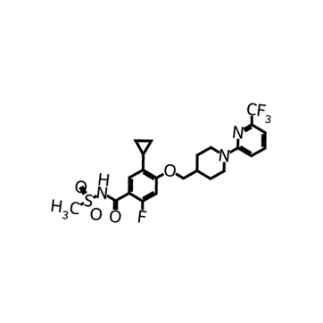 CS(=O)(=O)NC(=O)c1cc(C2CC2)c(OCC2CCN(c3cccc(C(F)(F)F)n3)CC2)cc1F